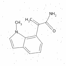 C=C(C(N)=O)c1cccc2ccn(C)c12